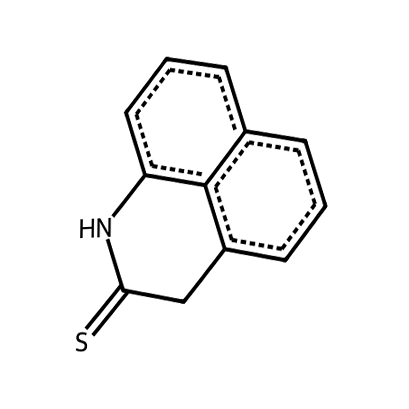 S=C1Cc2cccc3cccc(c23)N1